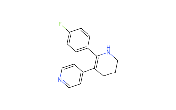 Fc1ccc(C2=C(c3ccncc3)CCCN2)cc1